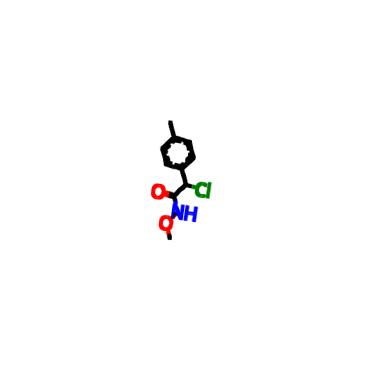 CONC(=O)C(Cl)c1ccc(C)cc1